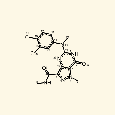 CNC(=O)c1nn(C)c2c(=O)[nH]c(N(C)c3ccc(Cl)c(Cl)c3)nc12